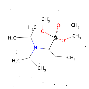 CCC(N(C(C)C)C(C)C)[Si](OC)(OC)OC